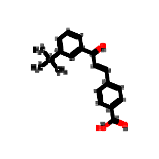 [CH3][Ge]([CH3])([CH3])[c]1cccc(C(=O)/C=C/c2ccc(C(=O)O)cc2)c1